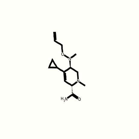 C=CCON(C)[C@H]1CN(C)[C@H](C(N)=O)C=C1C1CC1